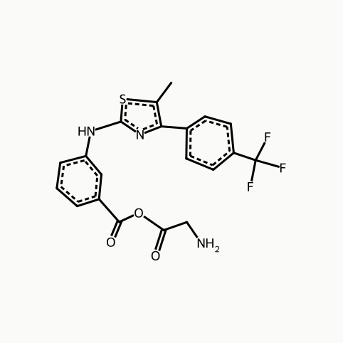 Cc1sc(Nc2cccc(C(=O)OC(=O)CN)c2)nc1-c1ccc(C(F)(F)F)cc1